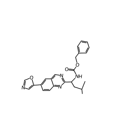 CC(C)CC(NC(=O)OCc1ccccc1)c1ncc2cc(-c3cnco3)ccc2n1